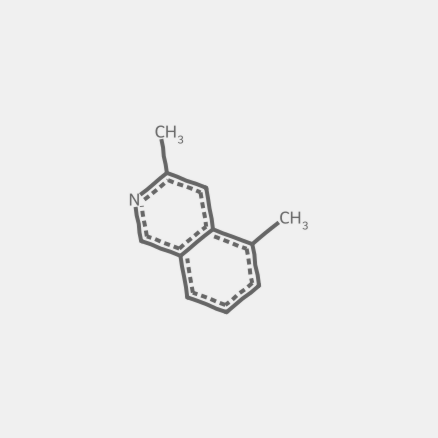 Cc1cc2c(C)cccc2cn1